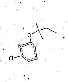 CCC(C)(C)Oc1cccc(Cl)n1